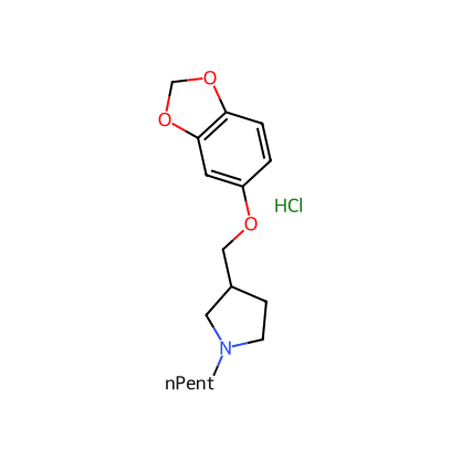 CCCCCN1CCC(COc2ccc3c(c2)OCO3)C1.Cl